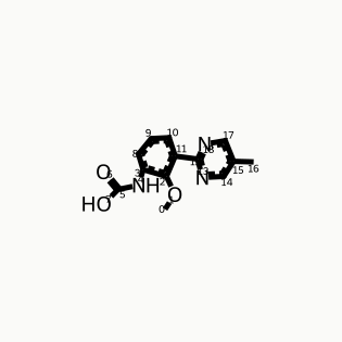 COc1c(NC(=O)O)cccc1-c1ncc(C)cn1